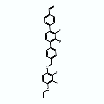 C=Cc1ccc(-c2ccc(-c3ccc(COc4ccc(OCC)c(F)c4F)cc3)c(F)c2F)cc1